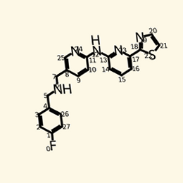 Fc1ccc(CNCc2ccc(Nc3cccc(-c4nccs4)n3)nc2)cc1